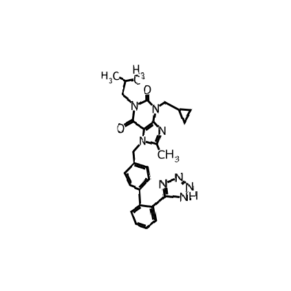 Cc1nc2c(c(=O)n(CC(C)C)c(=O)n2CC2CC2)n1Cc1ccc(-c2ccccc2-c2nnn[nH]2)cc1